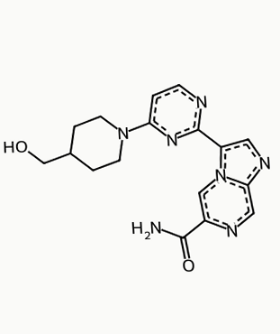 NC(=O)c1cn2c(-c3nccc(N4CCC(CO)CC4)n3)cnc2cn1